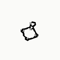 C1=Cc2cc3ccc(cc4nc(cc5ccc(cc1n2)[nH]5)-c1cccnc1-4)[nH]3